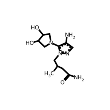 CC(CC(N)=O)Cn1ncc(N)c1N1CC(O)C(O)C1